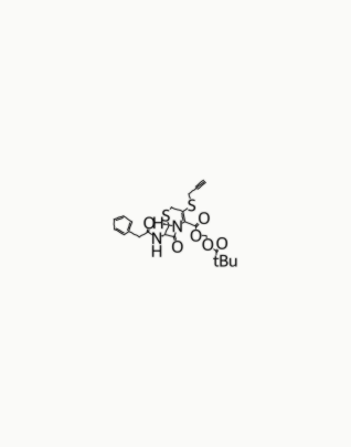 C#CCSC1=C(C(=O)OCOC(=O)C(C)(C)C)N2C(=O)[C@@H](NC(=O)Cc3ccccc3)[C@@H]2SC1